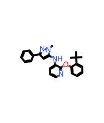 Cn1nc(-c2ccccc2)cc1Nc1cccnc1Oc1ccccc1C(C)(C)C